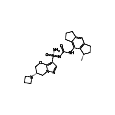 C[C@H]1CCc2cc3c(c(NC(=O)N=[S@](N)(=O)c4cnn5c4OC[C@@H](N4CCC4)C5)c21)CCC3